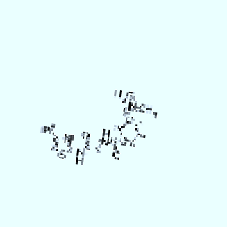 CC(C)c1csc(NC(=O)CNC(=O)c2cccc(SN(C)C)c2)n1